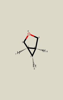 CC[C@@H]1[C@H]2COC[C@@H]12